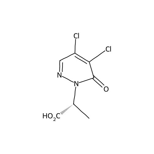 C[C@H](C(=O)O)n1ncc(Cl)c(Cl)c1=O